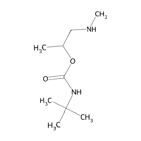 CNCC(C)OC(=O)NC(C)(C)C